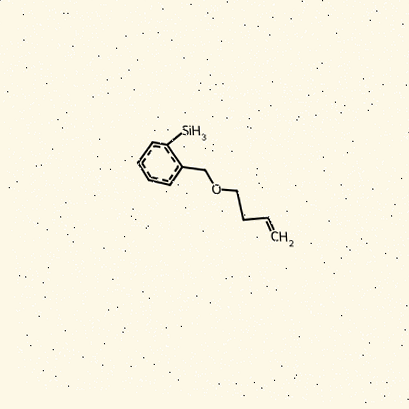 C=CCCOCc1ccccc1[SiH3]